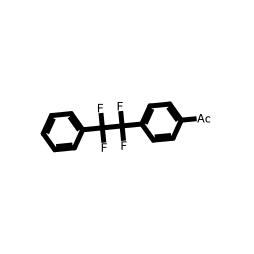 CC(=O)c1ccc(C(F)(F)C(F)(F)c2ccccc2)cc1